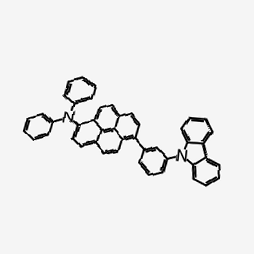 c1ccc(N(c2ccccc2)c2ccc3ccc4c(-c5cccc(-n6c7ccccc7c7ccccc76)c5)ccc5ccc2c3c54)cc1